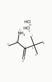 CC(N)C(=O)C(C)(C)C.Cl.Cl